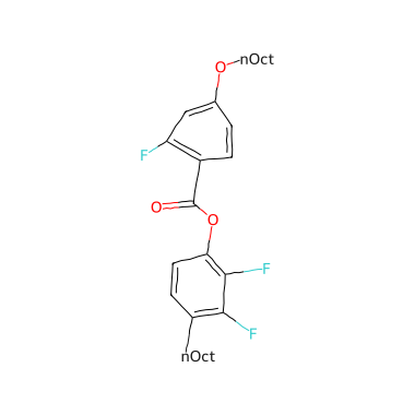 CCCCCCCCOc1ccc(C(=O)Oc2ccc(CCCCCCCC)c(F)c2F)c(F)c1